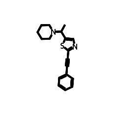 CC(c1cnc(C#Cc2ccccc2)s1)N1CCCCC1